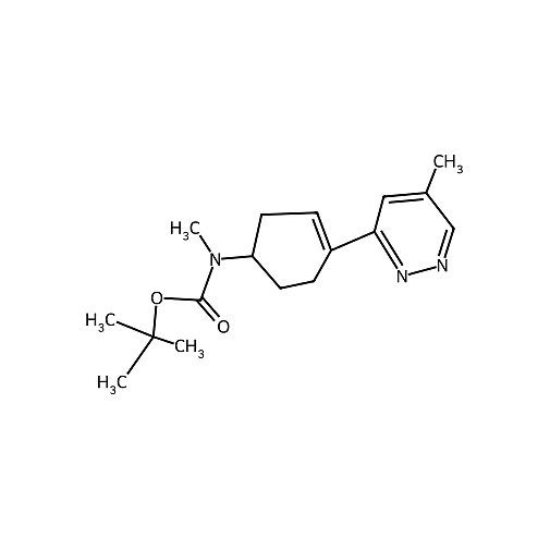 Cc1cnnc(C2=CCC(N(C)C(=O)OC(C)(C)C)CC2)c1